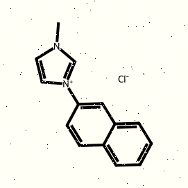 Cn1cc[n+](-c2ccc3ccccc3c2)c1.[Cl-]